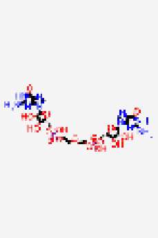 Nc1nc2c(ncn2[C@@H]2O[C@H](COP(=O)(O)OCCOCCOP(=O)(O)OC[C@@H]3O[C@H](n4cnc5c(=O)[nH]c(N)nc54)[C@H](O)C3O)C(O)C2O)c(=O)[nH]1